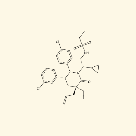 C=CC[C@@]1(CC)C[C@H](c2cccc(Cl)c2)C(c2ccc(Cl)cc2)N([C@H](CNS(=O)(=O)CC)C2CC2)C1=O